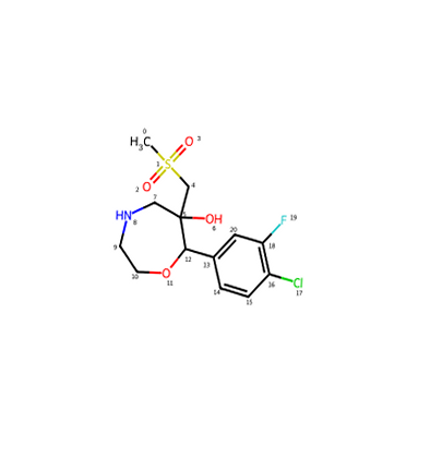 CS(=O)(=O)CC1(O)CNCCOC1c1ccc(Cl)c(F)c1